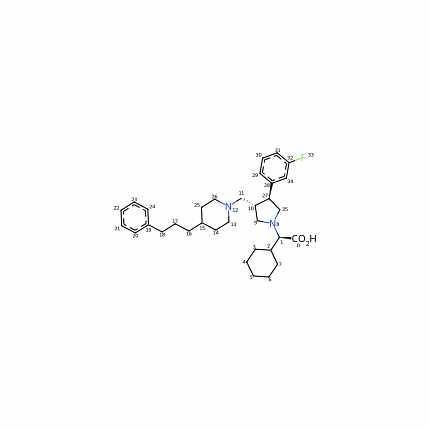 O=C(O)[C@@H](C1CCCCC1)N1C[C@H](CN2CCC(CCCc3ccccc3)CC2)[C@@H](c2cccc(F)c2)C1